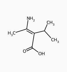 CC(N)=C(C(=O)O)C(C)C